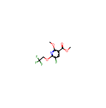 COC(=O)c1cc(F)c(OCC(F)(F)F)nc1OC